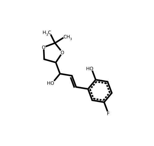 CC1(C)OCC(C(O)C=Cc2cc(F)ccc2O)O1